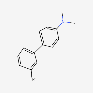 CC(C)c1cccc(-c2ccc(N(C)C)cc2)c1